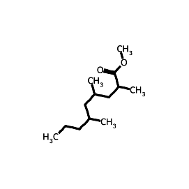 CCCC(C)CC(C)CC(C)C(=O)OC